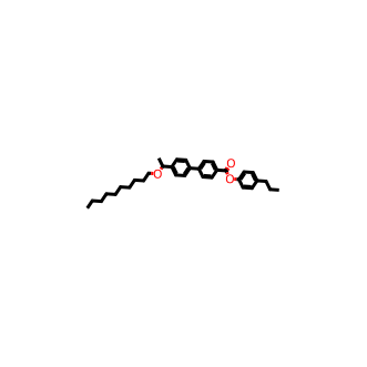 CCCCCCCCCCOC(C)c1ccc(-c2ccc(C(=O)Oc3ccc(CCC)cc3)cc2)cc1